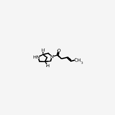 CC=CCC(=O)N1C[C@@H]2CN[C@@H](C2)C1